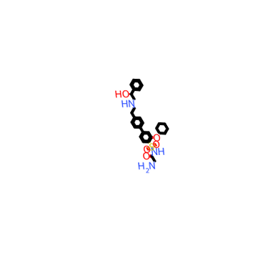 NCC(=O)NS(=O)(=O)c1ccc(-c2ccc(CCNC[C@@H](O)c3ccccc3)cc2)cc1OC1CCCCC1